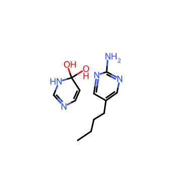 CCCCc1cnc(N)nc1.OC1(O)C=CN=CN1